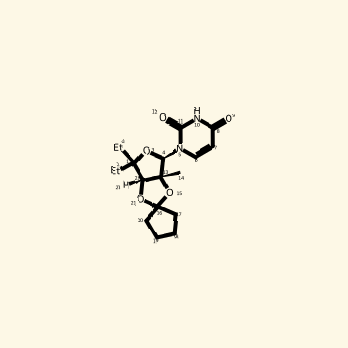 CCC1(CC)O[C@@H](n2ccc(=O)[nH]c2=O)[C@]2(C)OC3(CCCC3)O[C@H]12